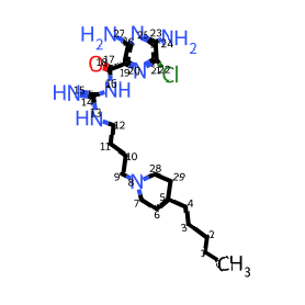 CCCCCC1CCN(CCCCNC(=N)NC(=O)c2nc(Cl)c(N)nc2N)CC1